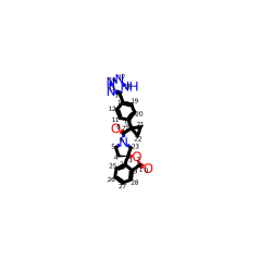 O=C1O[C@]2(CCN(C(=O)C3(c4ccc(-c5nnn[nH]5)cc4)CC3)C2)c2ccccc21